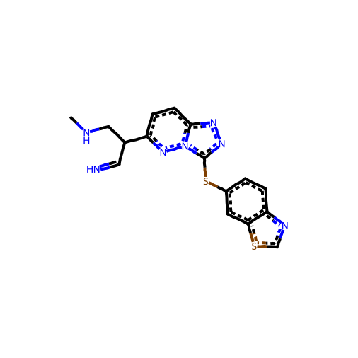 CNCC(C=N)c1ccc2nnc(Sc3ccc4ncsc4c3)n2n1